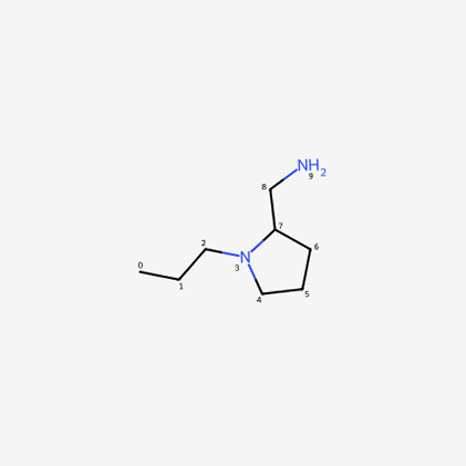 CCCN1CCCC1CN